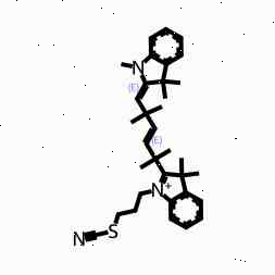 CN1/C(=C/C(C)(C)/C=C/C(C)(C)C2=[N+](CCCSC#N)c3ccccc3C2(C)C)C(C)(C)c2ccccc21